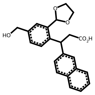 O=C(O)CC(c1ccc2ccccc2c1)c1ccc(CO)cc1C1OCCO1